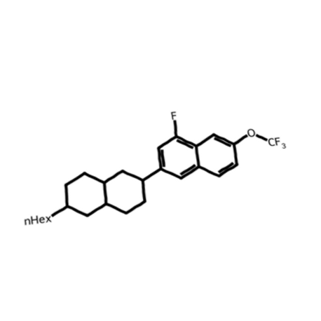 CCCCCCC1CCC2CC(c3cc(F)c4cc(OC(F)(F)F)ccc4c3)CCC2C1